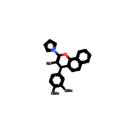 COc1ccc(C2C(C#N)=C(n3cccc3)Oc3c2ccc2ccccc32)cc1OC